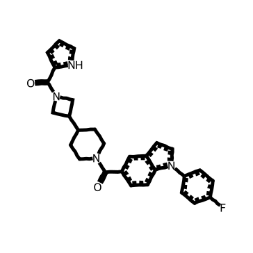 O=C(c1ccc2c(ccn2-c2ccc(F)cc2)c1)N1CCC(C2CN(C(=O)c3ccc[nH]3)C2)CC1